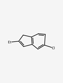 CCC1=Cc2cc(Cl)ccc2C1